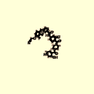 N#CCOc1ccc(Cc2cnc(C(=O)Nc3ccc(C(=O)N4CCN(C(=O)[C@@H]5CCNC[C@H]5O)CC4)c(Cl)c3)[nH]2)c(F)c1F